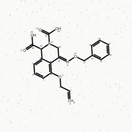 C=CCOc1cccc2c1C(=NOCc1ccccc1)CN(C(=O)O)C2C(=O)O